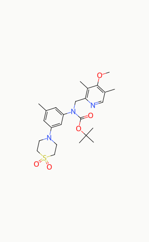 COc1c(C)cnc(CN(C(=O)OC(C)(C)C)c2cc(C)cc(N3CCS(=O)(=O)CC3)c2)c1C